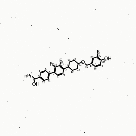 CCCC(O)c1ccc(-c2ccc(C3CCC(OCc4ccc(O)c(F)c4)CC3)c(F)c2F)cc1